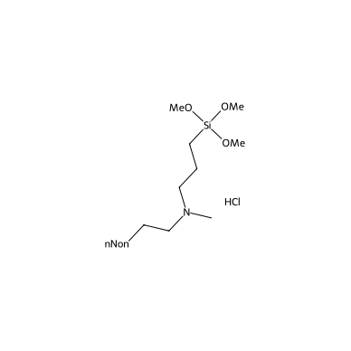 CCCCCCCCCCCN(C)CCC[Si](OC)(OC)OC.Cl